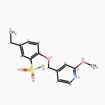 CCc1ccc(OCc2ccnc(OC)c2)c(S(=O)(=O)Cl)c1